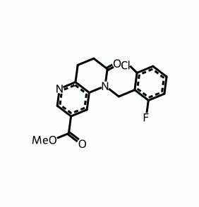 COC(=O)c1cnc2c(c1)N(Cc1c(F)cccc1Cl)C(=O)CC2